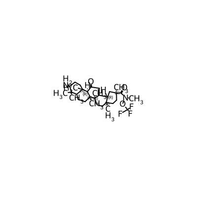 CN(OC(F)(F)F)C(=O)[C@@]1(C)CC[C@]2(C)CC[C@]3(C)C(=CC(=O)[C@@H]4[C@@]5(C)CC[C@H](N)C(C)(C)C5CC[C@]43C)[C@@H]2C1